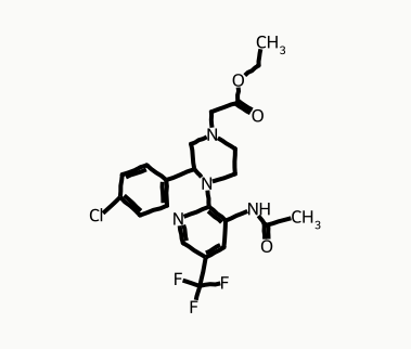 CCOC(=O)CN1CCN(c2ncc(C(F)(F)F)cc2NC(C)=O)C(c2ccc(Cl)cc2)C1